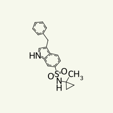 CC1(NS(=O)(=O)c2ccc3c(Cc4ccccc4)c[nH]c3c2)CC1